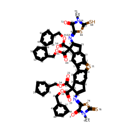 CCN1C(=O)/C(=N/C2=Cc3cc4sc5cc6c(cc5c4cc3C2(C(=O)OCc2ccccc2)C(=O)OCc2ccccc2)C(C(=O)OCc2ccccc2)(C(=O)OCc2ccccc2)C(/N=C2\SC(S)N(CC)C2=O)=C6)SC1=S